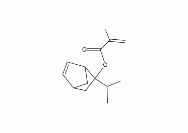 C=C(C)C(=O)OC1(C(C)C)CC2C=CC1C2